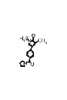 Cc1cc(-c2ccc(C(=O)N3CCCC3)cc2)cn(C)c1=O